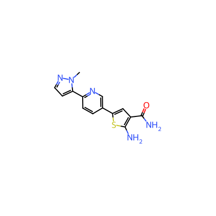 Cn1nccc1-c1ccc(-c2cc(C(N)=O)c(N)s2)cn1